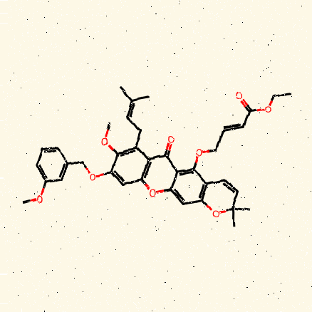 CCOC(=O)/C=C/COc1c2c(cc3oc4cc(OCc5cccc(OC)c5)c(OC)c(CC=C(C)C)c4c(=O)c13)OC(C)(C)C=C2